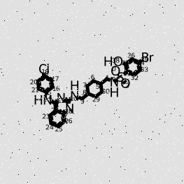 O=S(=O)(NCC1CCC(CNc2nc(Nc3ccc(Cl)cc3)c3ccccc3n2)CC1)c1ccc(Br)cc1O